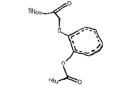 CCCCCCCCCC(=O)Oc1ccccc1OC(=O)CCCC